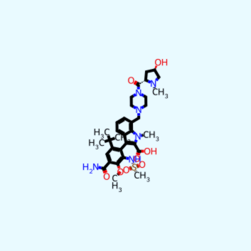 COc1c(C(N)=O)cc(C(C)(C)C)c(-c2c(C(=O)O)n(C)c3c(CN4CCN(C(=O)[C@@H]5C[C@@H](O)CN5C)CC4)cccc23)c1NS(C)(=O)=O